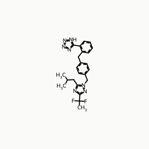 CC(C)Cc1nc(C(C)(F)F)nn1Cc1ccc(Cc2ccccc2-c2nnn[nH]2)cc1